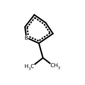 CC(C)c1bcccc1